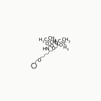 CC(C)(C)OC(=O)COCC(CCCCOCc1ccccc1)NC(=O)OC(C)(C)C